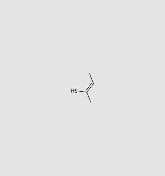 CC=C(C)S